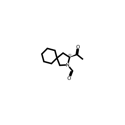 CC(=O)[C@@H]1CC2(CCCCC2)CN1C=O